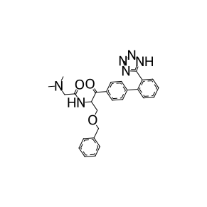 CN(C)CC(=O)NC(COCc1ccccc1)C(=O)c1ccc(-c2ccccc2-c2nnn[nH]2)cc1